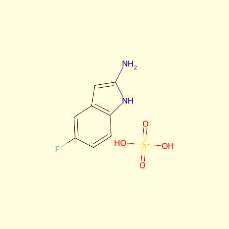 Nc1cc2cc(F)ccc2[nH]1.O=S(=O)(O)O